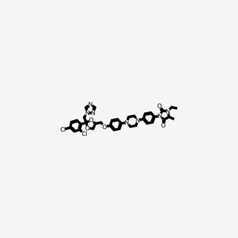 CCN1C(=O)N(c2ccc(N3CCN(c4ccc(OCC5COC(Cn6cncn6)(c6ccc(Cl)cc6Cl)O5)cc4)CC3)cc2)C(=O)C1C